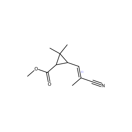 COC(=O)C1C(/C=C(\C)C#N)C1(C)C